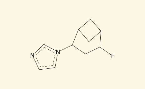 FC1CC(n2ccnc2)C2CC1C2